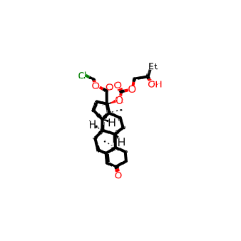 CCC(O)COC(=O)O[C@]1(C(=O)OCCl)CC[C@H]2[C@@H]3CCC4=CC(=O)CC[C@]4(C)[C@H]3CC[C@@]21C